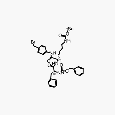 CC(C)(C)OC(=O)NCCCC[C@H](NC(=O)[C@H](Cc1ccccc1)NC(=O)OCc1ccccc1)C(=O)Nc1ccc(CBr)cc1